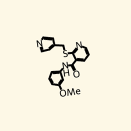 COc1cccc(NC(=O)c2cccnc2SCc2ccncc2)c1